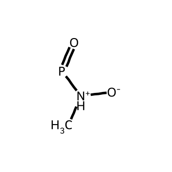 C[NH+]([O-])P=O